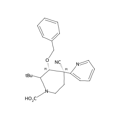 CC(C)(C)C1[C@H](OCc2ccccc2)[C@@](C#N)(c2ccccn2)CCN1C(=O)O